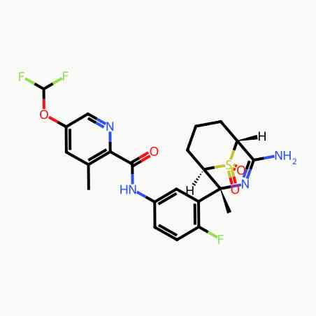 Cc1cc(OC(F)F)cnc1C(=O)Nc1ccc(F)c([C@@]2(C)N=C(N)[C@H]3CCC[C@H]2S3(=O)=O)c1